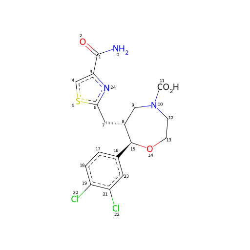 NC(=O)c1csc(C[C@@H]2CN(C(=O)O)CCO[C@H]2c2ccc(Cl)c(Cl)c2)n1